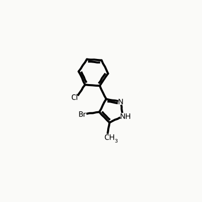 Cc1[nH]nc(-c2ccccc2Cl)c1Br